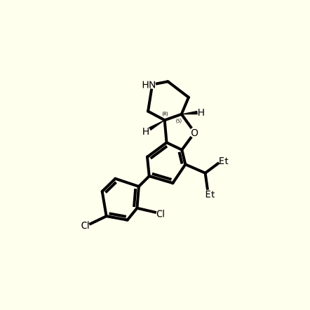 CCC(CC)c1cc(-c2ccc(Cl)cc2Cl)cc2c1O[C@H]1CCNC[C@@H]21